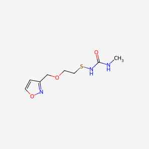 CNC(=O)NSCCOCc1ccon1